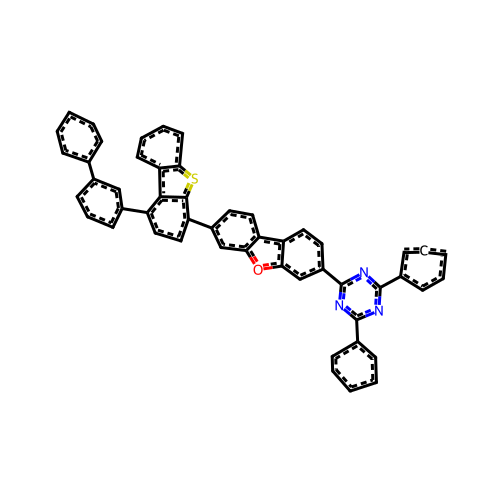 c1ccc(-c2cccc(-c3ccc(-c4ccc5c(c4)oc4cc(-c6nc(-c7ccccc7)nc(-c7ccccc7)n6)ccc45)c4sc5ccccc5c34)c2)cc1